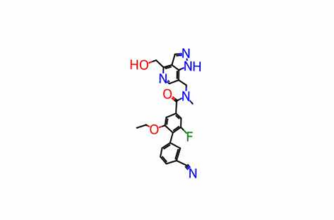 CCOc1cc(C(=O)N(C)Cc2cnc(CO)c3cn[nH]c23)cc(F)c1-c1cccc(C#N)c1